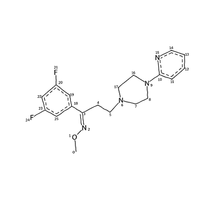 CON=C(CCN1CCN(c2ccccn2)CC1)c1cc(F)cc(F)c1